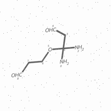 NC(N)(CC=O)OCCC=O